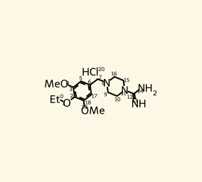 CCOc1c(OC)cc(CN2CCN(C(=N)N)CC2)cc1OC.Cl